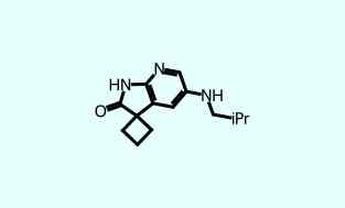 CC(C)CNc1cnc2c(c1)C1(CCC1)C(=O)N2